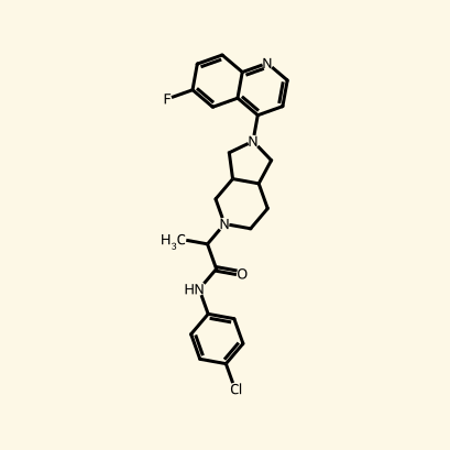 CC(C(=O)Nc1ccc(Cl)cc1)N1CCC2CN(c3ccnc4ccc(F)cc34)CC2C1